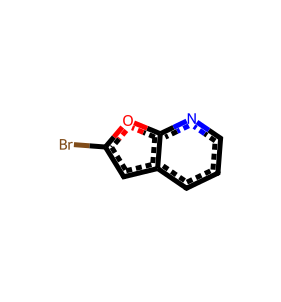 Brc1cc2cccnc2o1